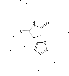 O=C1CCC(=O)N1.c1cnoc1